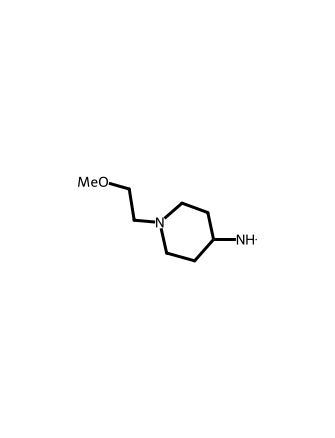 COCCN1CCC([NH])CC1